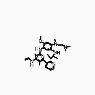 C=CNc1nc(Nc2cc(NC(C)CC)c(N(C)CCN(C)C)cc2OC)nc(-c2cccnc2)c1C